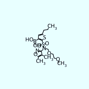 CCCc1cc(B(O)O)c(S(=O)(=O)N(COCCOC)c2noc(C)c2C)s1